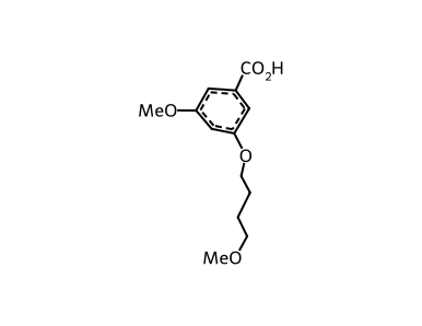 COCCCCOc1cc(OC)cc(C(=O)O)c1